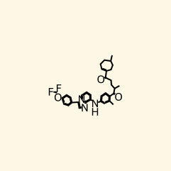 Cc1cc(Nc2cccn3c(-c4ccc(OC(F)F)cc4)cnc23)ccc1C(=O)C(C)CCC(=O)C1=CCCC(C)CC1